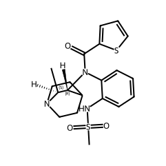 C[C@H]1[C@H](N(C(=O)c2cccs2)c2ccccc2NS(C)(=O)=O)C2CCN1CC2